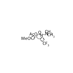 COc1ccc(C2Cc3cc(C(F)(F)F)ccc3N(CCN(C)C)C(=O)C2OC(C)=O)cc1